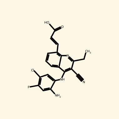 CCc1nc2c(C=CC(=O)O)cccc2c(Nc2cc(Cl)c(F)cc2N)c1C#N